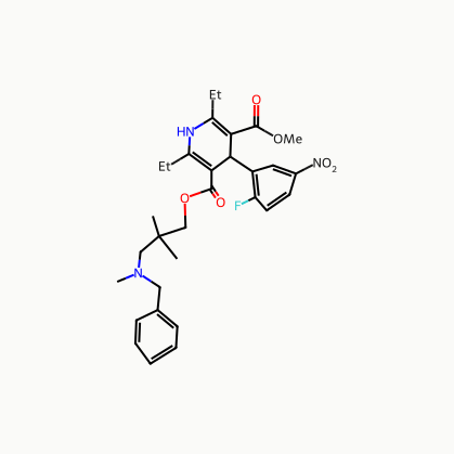 CCC1=C(C(=O)OC)C(c2cc([N+](=O)[O-])ccc2F)C(C(=O)OCC(C)(C)CN(C)Cc2ccccc2)=C(CC)N1